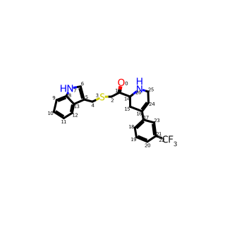 O=C(CSCc1c[nH]c2ccccc12)C1CC(c2cccc(C(F)(F)F)c2)=CCN1